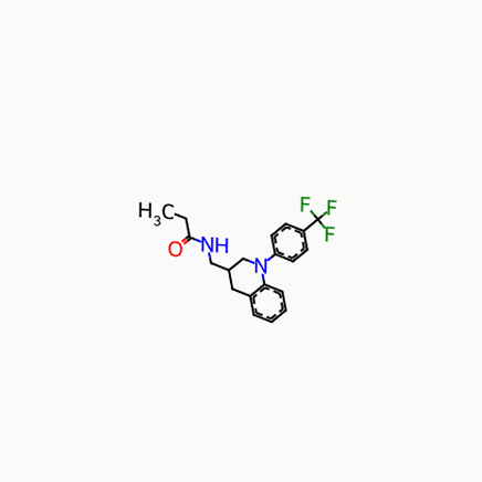 CCC(=O)NCC1Cc2ccccc2N(c2ccc(C(F)(F)F)cc2)C1